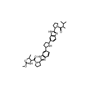 COC(=O)NC(C(=O)N1CCCC1c1nc2ccc(C3CCC(c4ccc5nc(C6CCCN6C(=O)C(C)C(C)C)[nH]c5c4)N3)cc2[nH]1)C(C)C